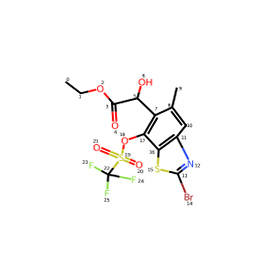 CCOC(=O)C(O)c1c(C)cc2nc(Br)sc2c1OS(=O)(=O)C(F)(F)F